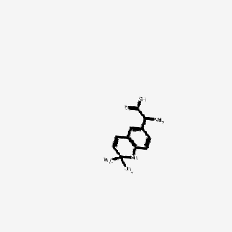 CC(C(=O)O)c1ccc2c(c1)C=CC(C)(C)N2